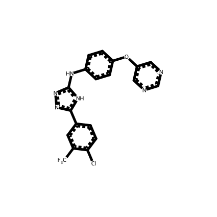 FC(F)(F)c1cc(-c2nnc(Nc3ccc(Oc4cncnc4)cc3)[nH]2)ccc1Cl